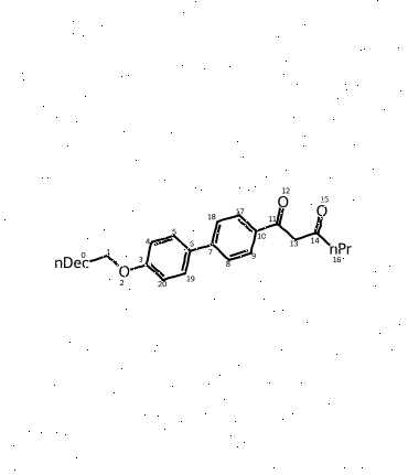 CCCCCCCCCCCOc1ccc(-c2ccc(C(=O)CC(=O)CCC)cc2)cc1